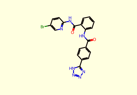 O=C(Nc1ccccc1C(=O)Nc1ccc(Br)cn1)c1ccc(-c2nnn[nH]2)cc1